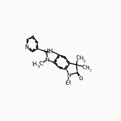 CCN1C(=O)C(C)(C)c2cc3c(cc21)N(C)C(c1cccnc1)N3